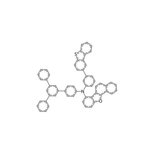 c1ccc(-c2cc(-c3ccccc3)cc(-c3ccc(N(c4cccc(-c5ccc6sc7ccccc7c6c5)c4)c4cccc5oc6c7ccccc7ccc6c45)cc3)c2)cc1